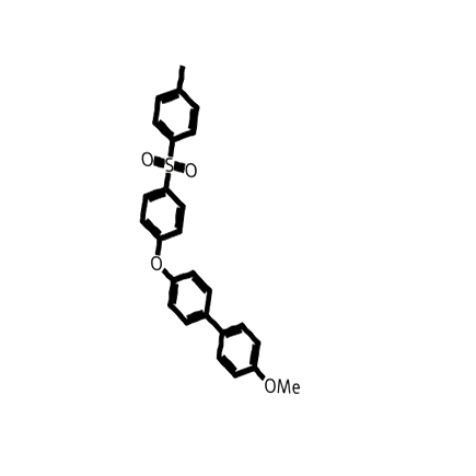 COc1ccc(-c2ccc(Oc3ccc(S(=O)(=O)c4ccc(C)cc4)cc3)cc2)cc1